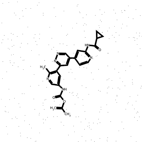 C=C(C)OC(=O)Nc1cnc(C)c(-c2cc(-c3ccnc(NC(=O)C4CC4)c3)cnn2)c1